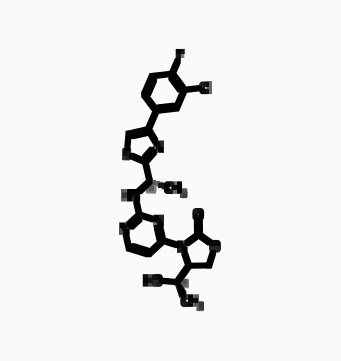 C[C@H](Nc1nccc(N2C(=O)OCC2[C@@H](C)O)n1)c1nc(-c2ccc(F)c(Cl)c2)cs1